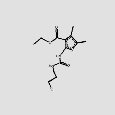 CCOC(=O)c1c(NC(=O)NCCCl)sc(C)c1C